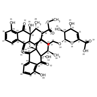 COC(=O)C[C@H]1C[C@@]2(S[C@@]34C[C@H](CCO[C@H]5OC(C(=O)O)=C[C@@H](O)[C@@H]5O)O[C@@H](C)[C@@]3(O)C(=O)c3c(O)cccc3C4=O)C(=O)c3cccc(O)c3C(=O)[C@]2(O)[C@H](C)O1